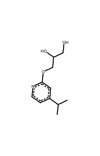 CC(C)c1ccnc(OCC(O)CO)c1